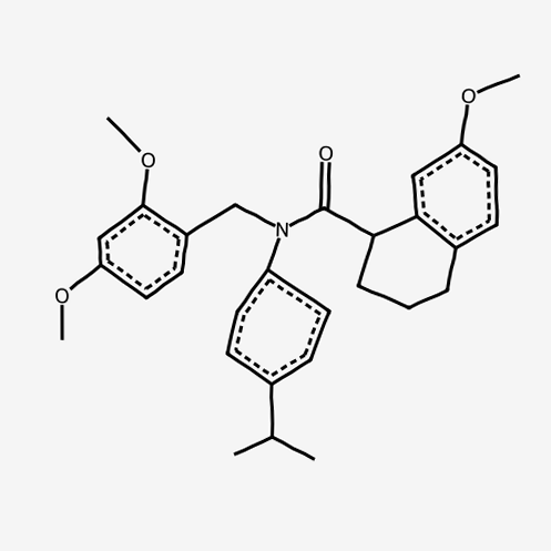 COc1ccc(CN(C(=O)C2CCCc3ccc(OC)cc32)c2ccc(C(C)C)cc2)c(OC)c1